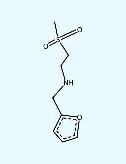 CS(=O)(=O)CCNCc1ccco1